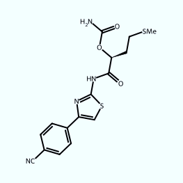 CSCC[C@H](OC(N)=O)C(=O)Nc1nc(-c2ccc(C#N)cc2)cs1